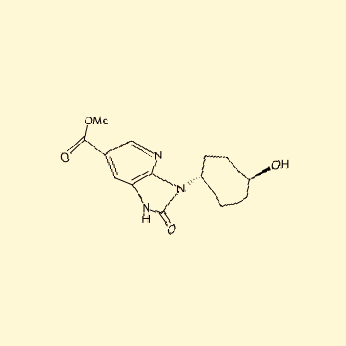 COC(=O)c1cnc2c(c1)[nH]c(=O)n2[C@H]1CC[C@H](O)CC1